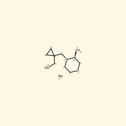 C[C@H]1COCCN1CC1(CO)CC1.[Na]